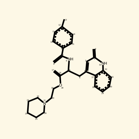 C=C1C=C(CC(NC(=C)c2ccc(C)cc2)C(=C)OCCN2CCCCC2)c2ccccc2N1